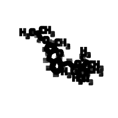 CC1=C(OCC(C)C)CC(Cc2cccc(CCO[Si](C(C)C)(C(C)C)C(C)C)c2)C1=O